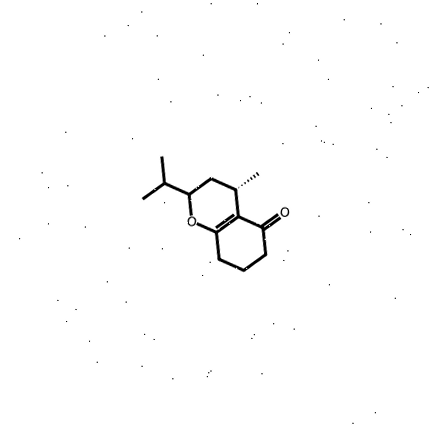 CC(C)C1C[C@H](C)C2=C(CCCC2=O)O1